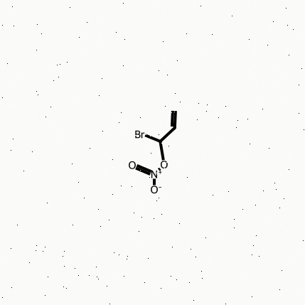 C=CC(Br)O[N+](=O)[O-]